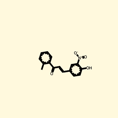 Cc1ccccc1C(=O)C=Cc1ccc(O)c([N+](=O)[O-])c1